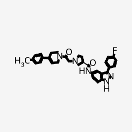 Cc1ccc(C2=CCN(C(=O)CN3CC[C@@H](C(=O)Nc4ccc5[nH]nc(-c6ccc(F)cc6)c5c4)C3)CC2)cc1